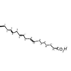 C=CCC=CCC=CCC=CCCCCCCC(=O)O